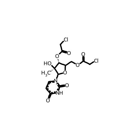 C[C@@]1(O)C(n2ccc(=O)[nH]c2=O)OC(COC(=O)CCl)[C@H]1OC(=O)CCl